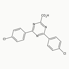 O=C(O)c1nc(-c2ccc(Cl)cc2)nc(-c2ccc(Cl)cc2)n1